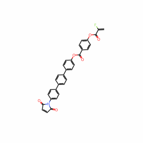 C=C(F)C(=O)Oc1ccc(C(=O)Oc2ccc(-c3ccc(-c4ccc(N5C(=O)C=CC5=O)cc4)cc3)cc2)cc1